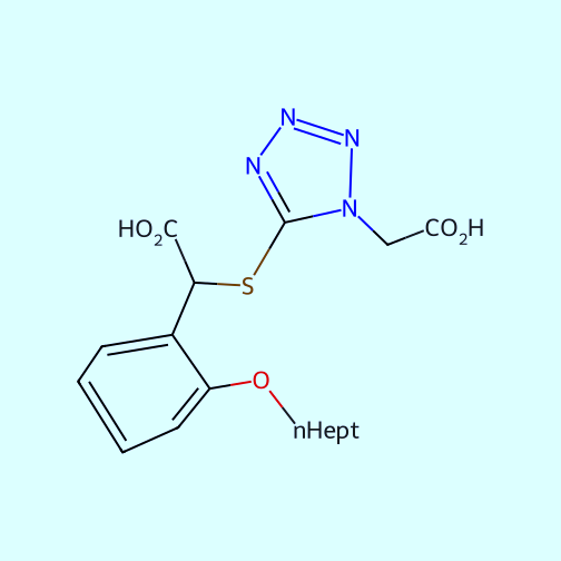 CCCCCCCOc1ccccc1C(Sc1nnnn1CC(=O)O)C(=O)O